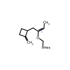 C=C1CCC1C/C(=C\C)OCCCCCCC